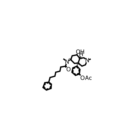 CC(=O)Oc1cccc([C@@]23CCN(C)C[C@H]2C(O)C[C@H](N(C)C(=O)CCCCCc2ccccc2)C3)c1